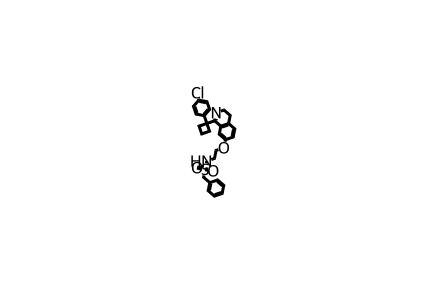 O=S(=O)(Cc1ccccc1)NCCOc1ccc2c(c1)C(C1(c3ccc(Cl)cc3)CCC1)=NCC2